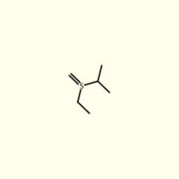 C=S(CC)C(C)C